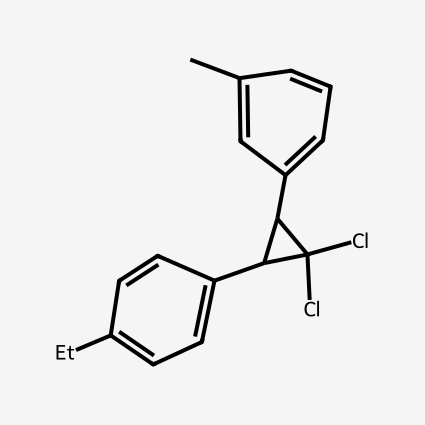 CCc1ccc(C2C(c3cccc(C)c3)C2(Cl)Cl)cc1